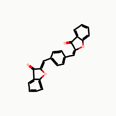 O=C1C(=Cc2ccc(/C=C3\Oc4ccccc4C3=O)cc2)Oc2ccccc21